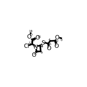 COC(=O)CC(=O)S[C@H]1CC(=O)N1C(Cl)C(=O)OC